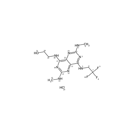 CNc1nc(NCC(F)(F)F)c2nc(NC)nc(NCCO)c2n1.Cl